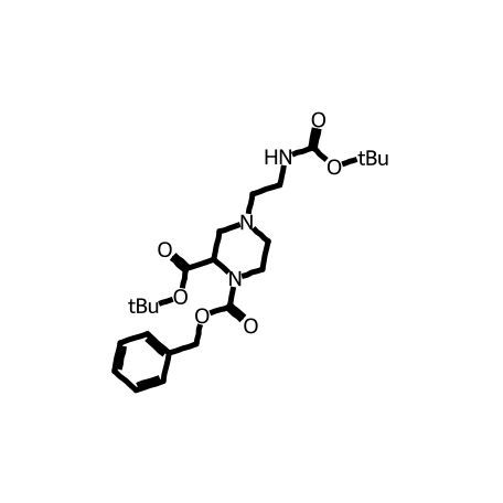 CC(C)(C)OC(=O)NCCN1CCN(C(=O)OCc2ccccc2)C(C(=O)OC(C)(C)C)C1